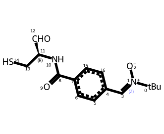 CC(C)(C)/[N+]([O-])=C/c1ccc(C(=O)N[C@H](C=O)CS)cc1